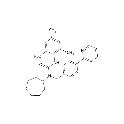 Cc1cc(C)c(NC(=O)N(Cc2ccc(-c3ccccn3)cc2)C2CCCCCC2)c(C)c1